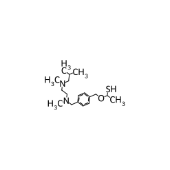 CC(C)CN(C)CCN(C)Cc1ccc(COC(C)S)cc1